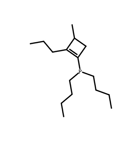 CCCCP(CCCC)C1=C(CCC)C(C)C1